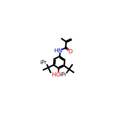 C=C(C)C(=O)Nc1cc(C(C)(C)C(C)C)c(O)c(C(C)(C)C(C)C)c1